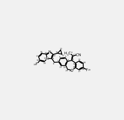 CC(C#N)=C1c2ccc(Cc3c(C4CC4)nc4ccc(F)cn34)cc2COc2cc(F)ccc21